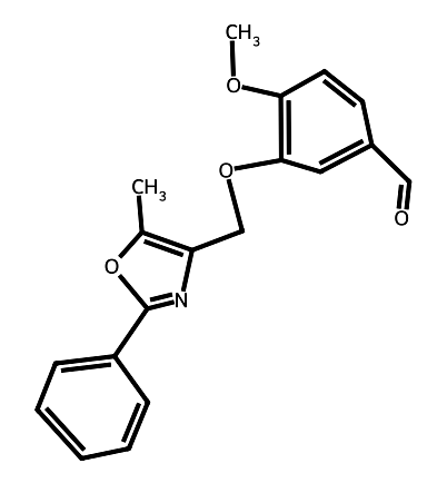 COc1ccc(C=O)cc1OCc1nc(-c2ccccc2)oc1C